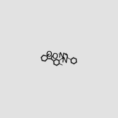 Cc1ccc2c(oc3oc4ccccc4c32)c1-c1nc(-c2ccccc2)cc[n+]1C